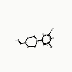 O=CN1CCN(c2cc(F)cc(F)c2)CC1